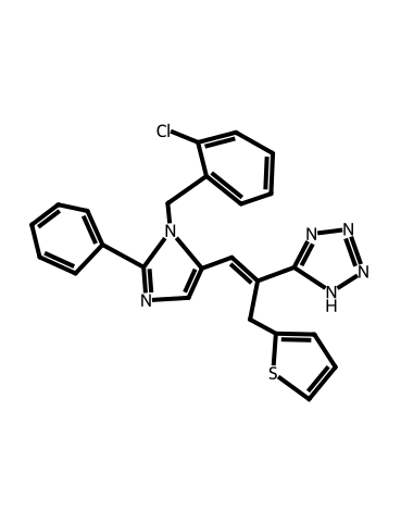 Clc1ccccc1Cn1c(/C=C(\Cc2cccs2)c2nnn[nH]2)cnc1-c1ccccc1